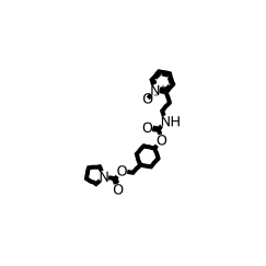 O=C(NCCc1cccc[n+]1[O-])OC1CCC(COC(=O)N2CCCC2)CC1